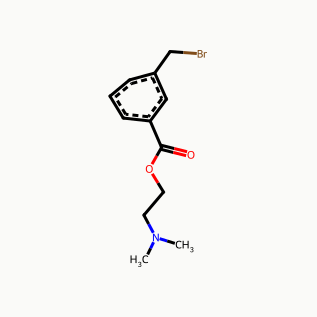 CN(C)CCOC(=O)c1cccc(CBr)c1